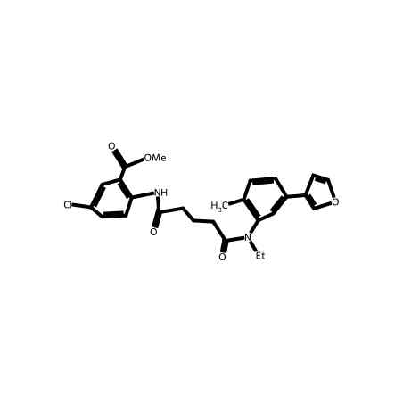 CCN(C(=O)CCCC(=O)Nc1ccc(Cl)cc1C(=O)OC)c1cc(-c2ccoc2)ccc1C